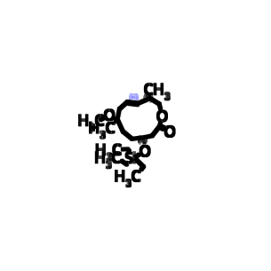 CC[Si](CC)(CC)O[C@@H]1CCC(C)(OC)C/C=C/[C@H](C)COC(=O)C1